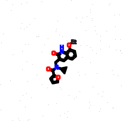 CCOc1cccc2cc(CN(C(=O)c3ccco3)C3CC3)c(=O)[nH]c12